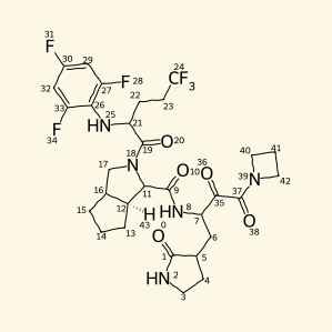 O=C1NCCC1CC(NC(=O)C1[C@H]2CCCC2CN1C(=O)C(CCC(F)(F)F)Nc1c(F)cc(F)cc1F)C(=O)C(=O)N1CCC1